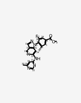 COC(=O)c1cc(F)c(-n2ncc3cnc(Nc4cc(C)ncn4)cc32)c(F)c1